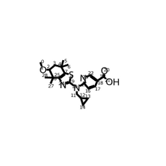 COC1CC(C)(C)c2sc(N(CC3CC3)c3ccc(C(=O)O)cn3)nc2C1(C)C